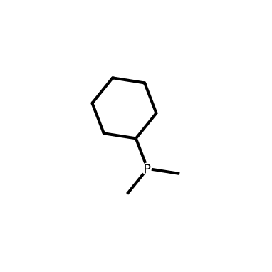 CP(C)C1CCCCC1